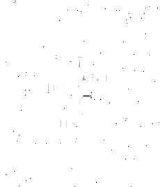 CCOC(=O)C[C@@H](N)C1CC1.Cl